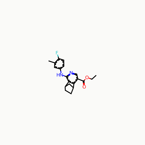 CCOC(=O)c1cnc(Nc2ccc(F)c(C)c2)c2c1C1CCC2C1